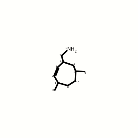 CC1/C=C\C(CN)CC(C)CC1